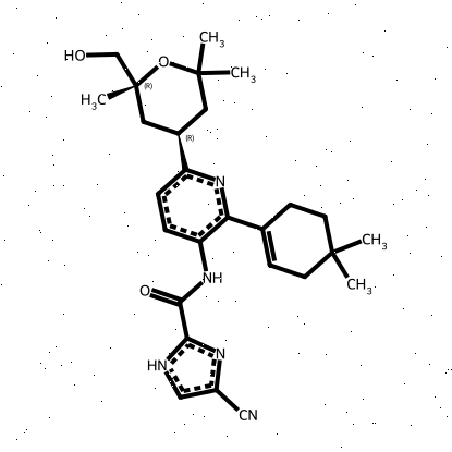 CC1(C)CC=C(c2nc([C@@H]3CC(C)(C)O[C@@](C)(CO)C3)ccc2NC(=O)c2nc(C#N)c[nH]2)CC1